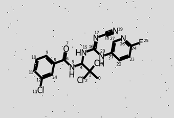 CC(Cl)(Cl)C(NC(=O)c1cccc(Cl)c1)N/C(=N/C#N)Nc1ccc(F)nc1